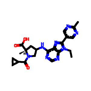 CCn1c(-c2cnc(C)nc2)nc2c(NC3CN(C(=O)C4CC4)[C@@](C)(C(=O)O)C3)ncnc21